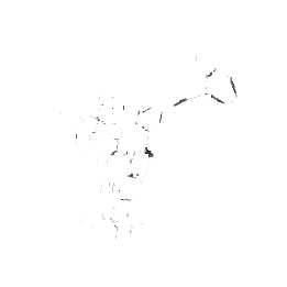 COc1ccccc1C#Cc1cccc(-c2cnc(NC(=O)OC(C)(C)C)n2C(=O)OC(C)(C)C)c1